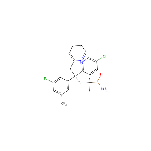 CC(C)(C[C@@](Cc1ccccn1)(c1cc(F)cc(C(F)(F)F)c1)c1ccc(Cl)cn1)[S+](N)[O-]